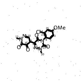 COc1ccc(-n2c(=O)c(C3C=NN(C)C(=O)C3=O)nn(C)c2=O)c(Cl)c1